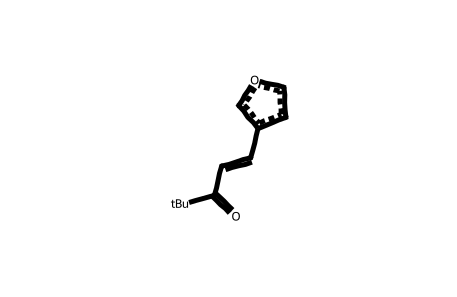 CC(C)(C)C(=O)/C=C/c1ccoc1